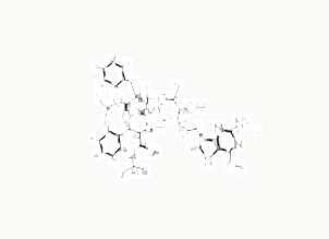 COc1nc(N)nc2c1ncn2CO[C@H](COP(=O)(NC(Cc1ccccc1)C(=O)OC(C)C)NC(Cc1ccccc1)C(=O)OC(C)C)[C@H](O)C(C)O